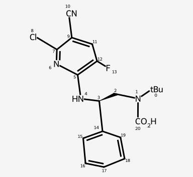 CC(C)(C)N(C[C@H](Nc1nc(Cl)c(C#N)cc1F)c1ccccc1)C(=O)O